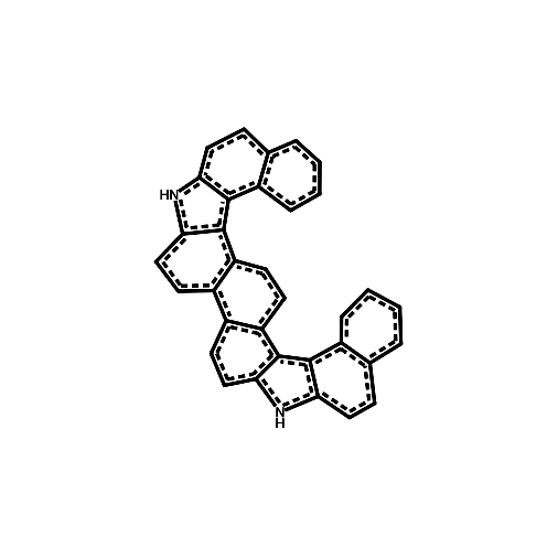 c1ccc2c(c1)ccc1[nH]c3ccc4c5ccc6[nH]c7ccc8ccccc8c7c6c5ccc4c3c12